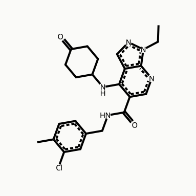 CCn1ncc2c(NC3CCC(=O)CC3)c(C(=O)NCc3ccc(C)c(Cl)c3)cnc21